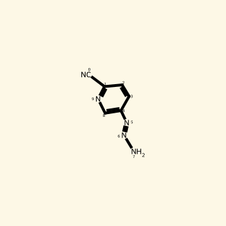 N#Cc1ccc(N=NN)cn1